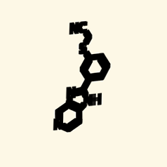 N#CCSc1cccc(-c2nc3cnccc3[nH]2)c1